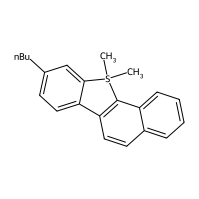 CCCCc1ccc2c(c1)S(C)(C)c1c-2ccc2ccccc12